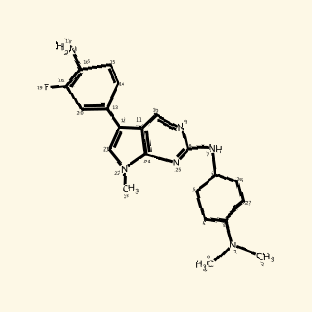 CN(C)C1CCC(Nc2ncc3c(-c4ccc(N)c(F)c4)cn(C)c3n2)CC1